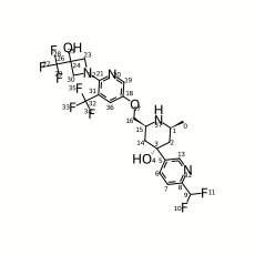 C[C@H]1C[C@@](O)(c2ccc(C(F)F)nc2)C[C@@H](COc2cnc(N3CC(O)(C(F)(F)F)C3)c(C(F)(F)F)c2)N1